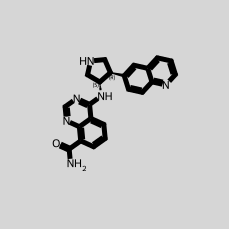 NC(=O)c1cccc2c(N[C@@H]3CNC[C@H]3c3ccc4ncccc4c3)ncnc12